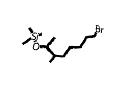 CC(CCCCCBr)C(C)O[Si](C)(C)C